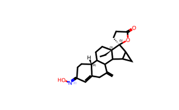 C=C1CC2=C/C(=N/O)CC[C@@H]2C2CC[C@@]3(CC)C(C4CC4[C@@]34CCC(=O)O4)C12